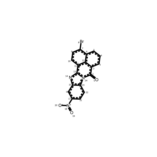 O=c1c2cccc3c(Br)ccc(c32)c2nc3cc([N+](=O)[O-])ccc3n12